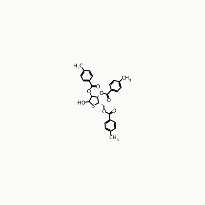 Cc1ccc(C(=O)OC[C@@H]2SC(O)[C@@H](OC(=O)c3ccc(C)cc3)[C@@H]2OC(=O)c2ccc(C)cc2)cc1